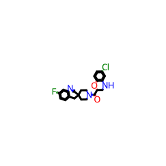 N#CC1(Cc2ccc(F)cc2)CCN(C(=O)C2CNc3cc(Cl)ccc3O2)CC1